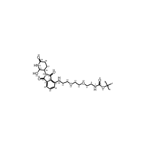 CC(C)(C)OC(=O)NCCOCCOCCNc1cccc2c1C(=O)N(C1CCC(=O)NC1O)C2=O